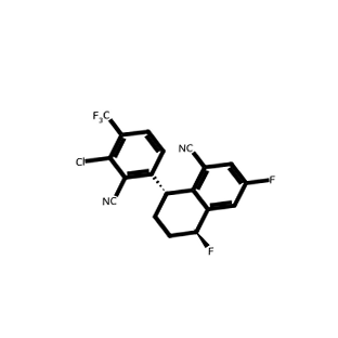 N#Cc1cc(F)cc2c1[C@@H](c1ccc(C(F)(F)F)c(Cl)c1C#N)CC[C@@H]2F